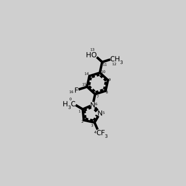 Cc1cc(C(F)(F)F)nn1-c1ccc(C(C)O)cc1F